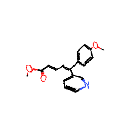 COC(=O)C=CC=C(c1ccc(OC)cc1)c1cccnc1